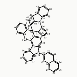 c1ccc2c(c1)Oc1c(ccc3c1c1ccccc1n3-c1ccc3ccccc3c1)C21c2ccccc2-n2c3ccccc3c3cccc1c32